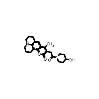 Cc1c(CC(=O)N2CCC(O)CC2)c(=O)oc2c3c4c(cc12)CCCN4CCC3